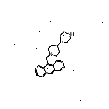 c1ccc2c(CN3CCC(C4CCNCC4)CC3)c3ccccc3cc2c1